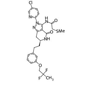 CSCC(=O)Nc1c2c(nn1-c1ccc(Cl)cn1)C[C@H](CCc1cccc(OCC(C)(F)F)c1)NC2=O